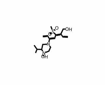 C=C/C(CO)=C(\C=C(/C=C)N1CCN(O)C(C(C)C)C1)S(C)(=O)=O